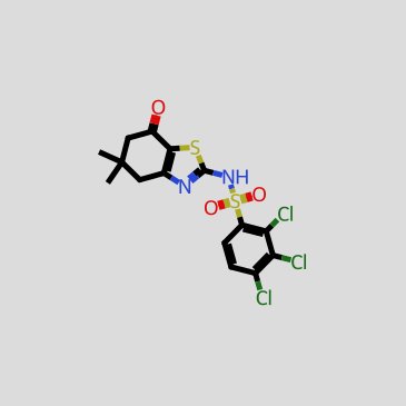 CC1(C)CC(=O)c2sc(NS(=O)(=O)c3ccc(Cl)c(Cl)c3Cl)nc2C1